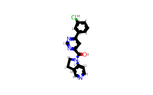 O=C(c1cc(-c2cccc(Cl)c2)ncn1)N1CCc2cnccc21